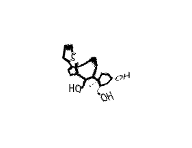 CC12CCC([C@@]3(C)CC[C@H](O)C[C@@H]3CO)C(CO)C1CC=C2c1cccs1